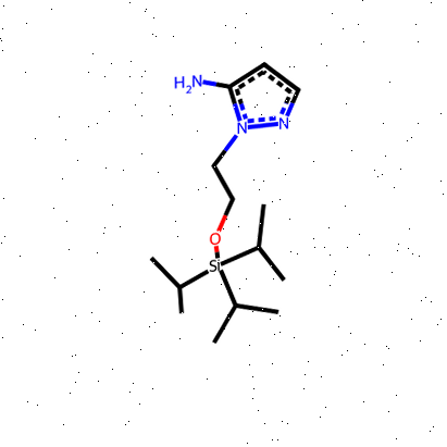 CC(C)[Si](OCCn1nccc1N)(C(C)C)C(C)C